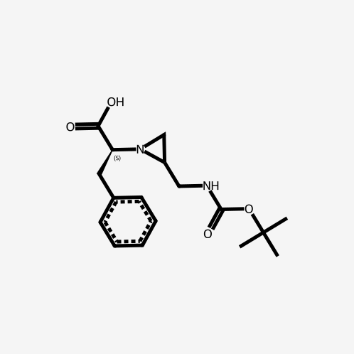 CC(C)(C)OC(=O)NCC1CN1[C@@H](Cc1ccccc1)C(=O)O